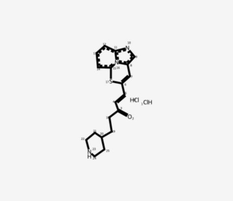 Cl.Cl.O=C(C=CC1=Cc2cnc3cccc(n23)S1)CCC1CCNCC1